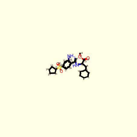 C=C(NC(CC1CCCCC1)C(=O)OC)c1ccc(S(=O)(=O)C2CCCC2)cc1N